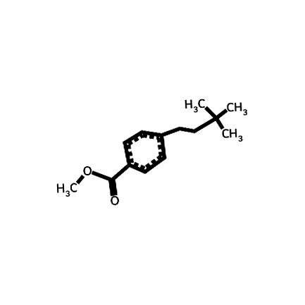 COC(=O)c1ccc(CCC(C)(C)C)cc1